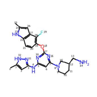 Cc1cc(Nc2cc(N3CCCC(CN)C3)nc(Oc3ccc4[nH]c(C)cc4c3F)n2)n[nH]1